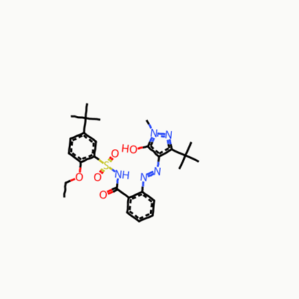 CCOc1ccc(C(C)(C)C)cc1S(=O)(=O)NC(=O)c1ccccc1/N=N/c1c(C(C)(C)C)nn(C)c1O